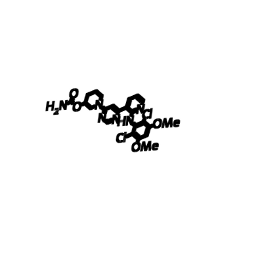 COc1cc(OC)c(Cl)c(Nc2ncccc2-c2cc(N3CCCC(OC(N)=O)C3)ncn2)c1Cl